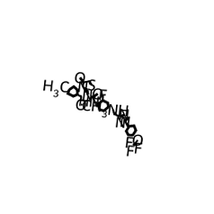 COCc1ccc(C)cc1N1C(=O)CS/C1=N\C(=O)Nc1ccc(NCc2ncn(-c3ccc(OC(F)(F)F)cc3)n2)cc1F